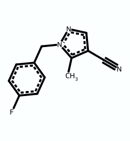 Cc1c(C#N)cnn1Cc1ccc(F)cc1